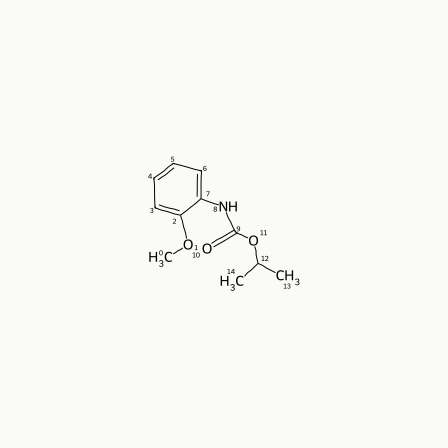 COc1ccccc1NC(=O)OC(C)C